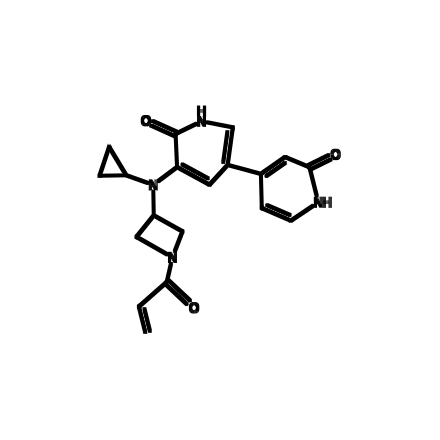 C=CC(=O)N1CC(N(c2cc(-c3cc[nH]c(=O)c3)c[nH]c2=O)C2CC2)C1